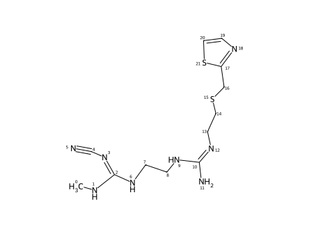 CNC(=NC#N)NCCNC(N)=NCCSCc1nccs1